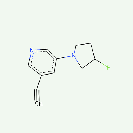 C#Cc1cncc(N2CCC(F)C2)c1